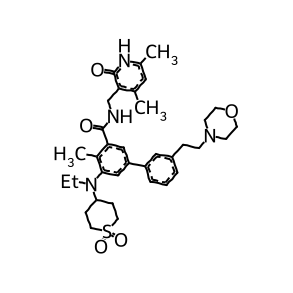 CCN(c1cc(-c2cccc(CCN3CCOCC3)c2)cc(C(=O)NCc2c(C)cc(C)[nH]c2=O)c1C)C1CCS(=O)(=O)CC1